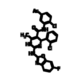 CC(=O)c1ccc(Cl)c(NC(=O)C2=C(C)NC(Nc3nc4ccc(F)cc4o3)=NC2c2ccccc2Cl)c1